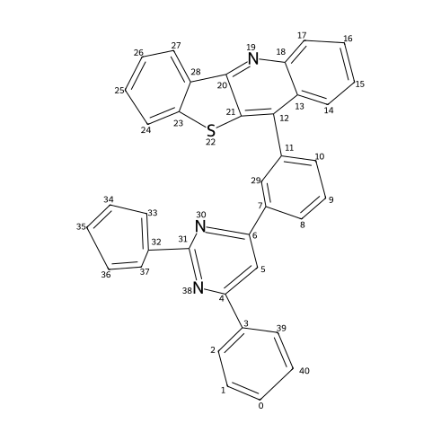 c1ccc(-c2cc(-c3cccc(-c4c5ccccc5nc5c4sc4ccccc45)c3)nc(-c3ccccc3)n2)cc1